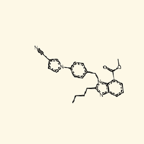 CCCCc1nc2cccc(C(=O)OC)c2n1Cc1ccc(-n2ccc(C#N)c2)cc1